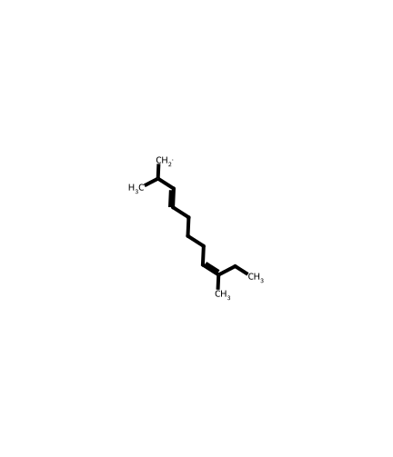 [CH2]C(C)C=CCCCC=C(C)CC